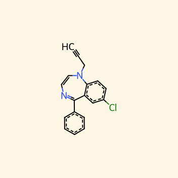 C#CCN1C=CN=C(c2ccccc2)c2cc(Cl)ccc21